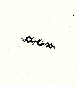 FSc1ccc2nc(-c3ccc(N4CC5(CC(F)C5)C4)nc3)sc2c1